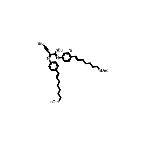 CCCCC#CC(=Nc1ccc(C=CCCCCCCCCCCCCCCC)cc1)C(CCCC)=Nc1ccc(C=CCCCCCCCCCCCCCCC)cc1.[Ni]